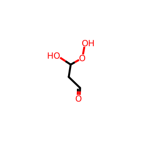 O=CCC(O)OO